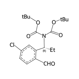 CC[C@H](c1cc(Cl)ccc1C=O)N(C(=O)OC(C)(C)C)C(=O)OC(C)(C)C